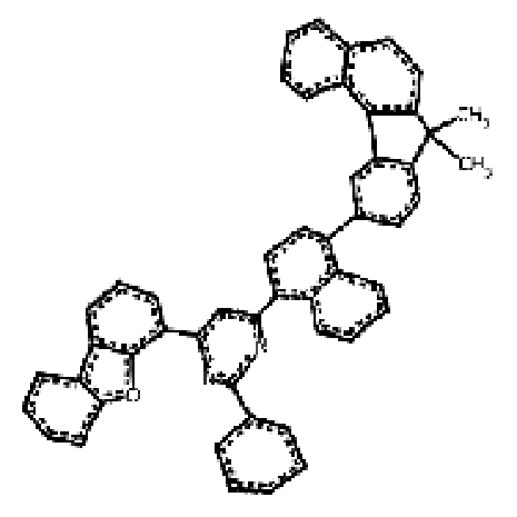 CC1(C)c2ccc(-c3ccc(-c4cc(-c5cccc6c5oc5ccccc56)nc(-c5ccccc5)n4)c4ccccc34)cc2-c2c1ccc1ccccc21